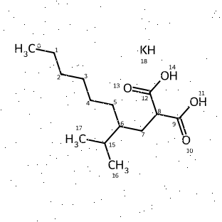 CCCCCCC(CC(C(=O)O)C(=O)O)C(C)C.[KH]